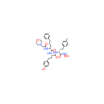 COc1ccc(CC[C@@H](NC(=O)[C@H](CCCc2ccccc2)NC(=O)CN2CCOCC2)C(=O)N[C@H](CCc2ccc(C)cc2)C(=O)NO)cc1